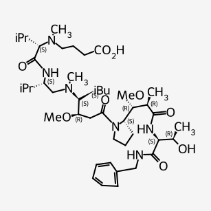 CC[C@H](C)[C@@H]([C@@H](CC(=O)N1CCC[C@H]1[C@H](OC)[C@@H](C)C(=O)N[C@H](C(=O)NCc1ccccc1)[C@@H](C)O)OC)N(C)C[C@@H](NC(=O)[C@H](C(C)C)N(C)CCCC(=O)O)C(C)C